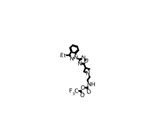 CCc1nn(-c2noc(C3CN(CCNC(=O)OC(=O)C(F)(F)F)C3)n2)c2ccccc12